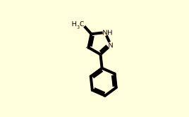 Cc1[c]c(-c2ccccc2)n[nH]1